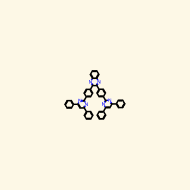 c1ccc(-c2cc(-c3ccccc3)nc(-c3ccc(-c4nc5ccccc5nc4-c4ccc(-c5nc(-c6ccccc6)cc(-c6ccccc6)n5)cc4)cc3)n2)cc1